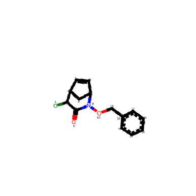 O=C1C(Cl)C2C=CC(C2)N1OCc1ccccc1